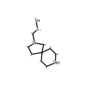 SSCN1CCC2(CCNCC2)C1